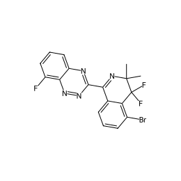 CC1(C)N=C(c2nnc3c(F)cccc3n2)c2cccc(Br)c2C1(F)F